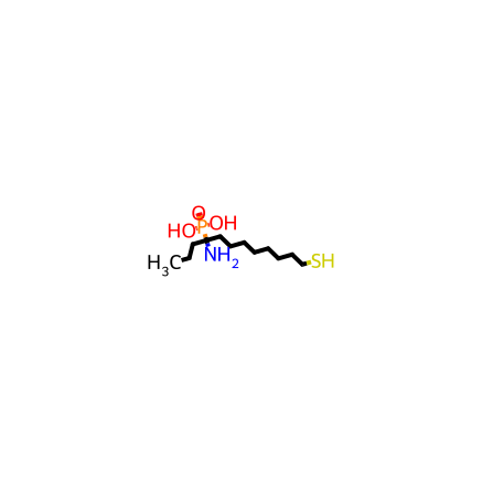 CCCC(N)(CCCCCCCCS)P(=O)(O)O